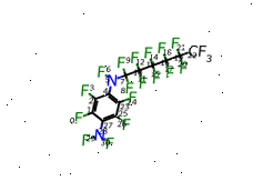 Fc1c(F)c(N(F)C(F)(F)C(F)(F)C(F)(F)C(F)(F)C(F)(F)C(F)(F)F)c(F)c(F)c1N(F)F